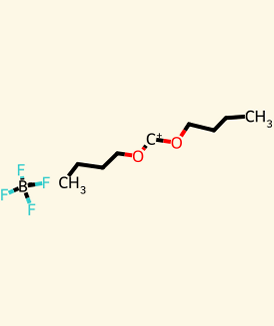 CCCCO[CH+]OCCCC.F[B-](F)(F)F